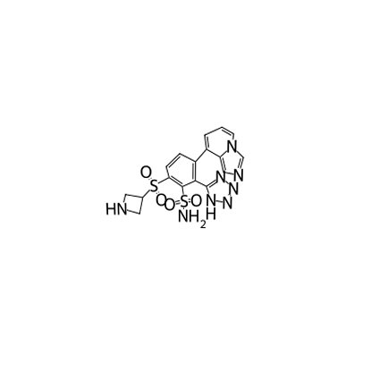 NS(=O)(=O)c1c(S(=O)(=O)C2CNC2)ccc(-c2cccn3cncc23)c1-c1nnn[nH]1